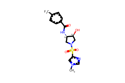 Cn1cnc(S(=O)(=O)N2C[C@H](NC(=O)c3ccc(C(F)(F)F)cc3)[C@@H](O)C2)c1